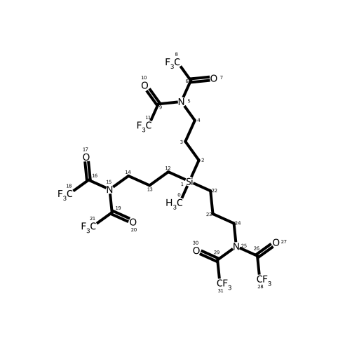 C[Si](CCCN(C(=O)C(F)(F)F)C(=O)C(F)(F)F)(CCCN(C(=O)C(F)(F)F)C(=O)C(F)(F)F)CCCN(C(=O)C(F)(F)F)C(=O)C(F)(F)F